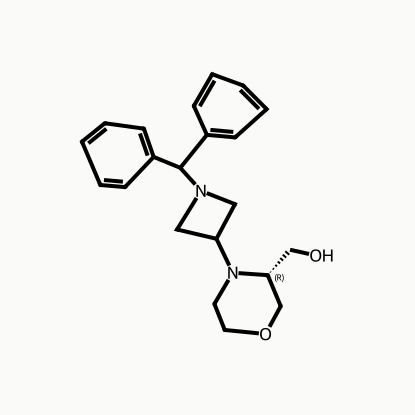 OC[C@@H]1COCCN1C1CN(C(c2ccccc2)c2ccccc2)C1